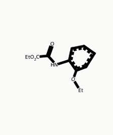 CCOC(=O)C(=O)Nc1ccccc1OCC